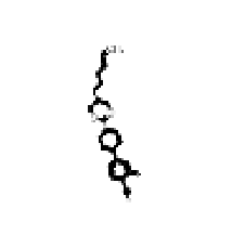 C=CCCCC[C@H]1CO[C@H](C2CCC(c3ccc(C#N)c(F)c3)CC2)OC1